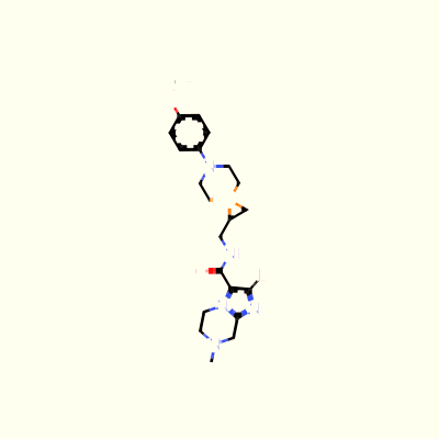 CCc1nc2n(c1C(=O)NCC1C[PH]13CCN(c1ccc(OC(F)(F)F)cc1)CC3)CCN(C)C2